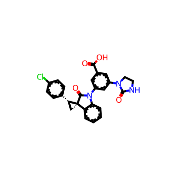 O=C(O)c1cc(N2CCNC2=O)cc(N2C(=O)[C@@]3(C[C@@H]3c3ccc(Cl)cc3)c3ccccc32)c1